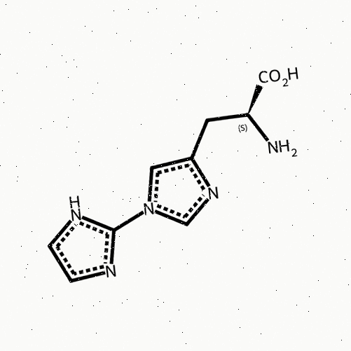 N[C@@H](Cc1cn(-c2ncc[nH]2)cn1)C(=O)O